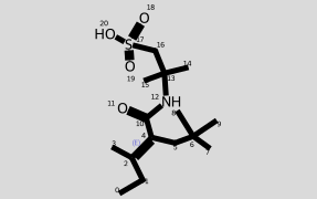 CC/C(C)=C(\CC(C)(C)C)C(=O)NC(C)(C)CS(=O)(=O)O